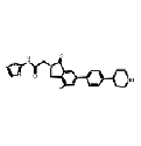 O=C(CN1Cc2c(F)cc(-c3ccc(C4CCNCC4)cc3)cc2C1=O)Nc1nccs1